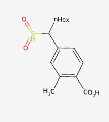 CCCCCCC(c1ccc(C(=O)O)c(C)c1)[SH](=O)=O